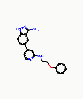 Nc1n[nH]c2ccc(-c3ccnc(NCCOc4ccccc4)c3)cc12